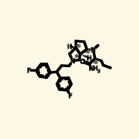 CCC[C@@H](C(N)=O)N(C)[C@H]1CC[C@@H]2CN(CCC(c3ccc(F)cc3)c3ccc(F)cc3)C[C@@H]21